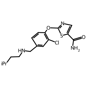 CC(C)CCNCc1ccc(Oc2ncc(C(N)=O)s2)c(Cl)c1